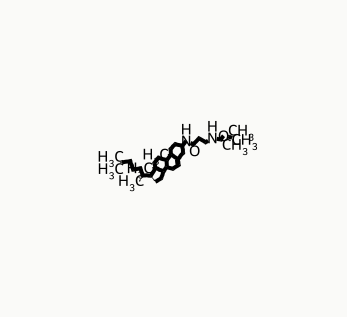 CC(C)CCC[C@@H](C)[C@H]1CCC2C3CC=C4CC(NC(=O)CCNCOC(C)(C)C)CC[C@]4(C)C3CC[C@@]21C